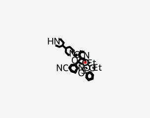 CCOc1ccccc1S(=O)(=O)N1C(=O)C(OC(=O)N2CCC(C3CCNCC3)CC2)(c2cccnc2OCC)c2cc(C#N)ccc21